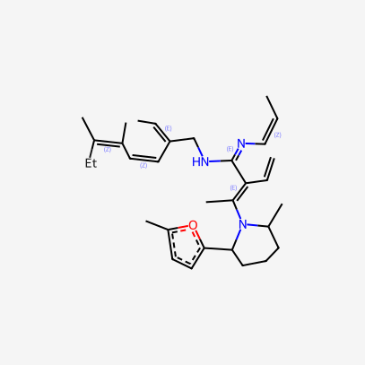 C=CC(/C(=N\C=C/C)NCC(/C=C\C(C)=C(\C)CC)=C/C)=C(/C)N1C(C)CCCC1c1ccc(C)o1